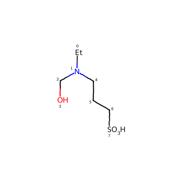 CCN(CO)CCCS(=O)(=O)O